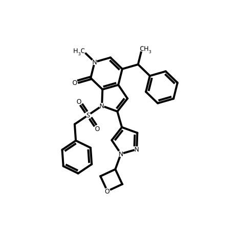 CC(c1ccccc1)c1cn(C)c(=O)c2c1cc(-c1cnn(C3COC3)c1)n2S(=O)(=O)Cc1ccccc1